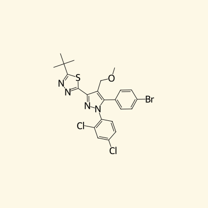 COCc1c(-c2nnc(C(C)(C)C)s2)nn(-c2ccc(Cl)cc2Cl)c1-c1ccc(Br)cc1